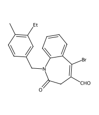 CCc1cc(CN2C(=O)CC(C=O)=C(Br)c3ccccc32)ccc1C